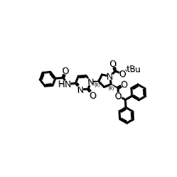 CC(C)(C)OC(=O)N1C[C@H](n2ccc(NC(=O)c3ccccc3)nc2=O)C[C@@H]1C(=O)OC(c1ccccc1)c1ccccc1